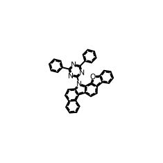 c1ccc(-c2nc(-c3ccccc3)nc(-n3c4ccc5ccccc5c4c4ccc5c6ccccc6oc5c43)n2)cc1